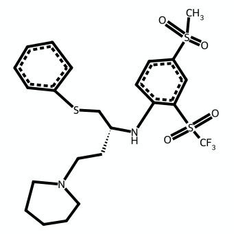 CS(=O)(=O)c1ccc(N[C@H](CCN2CCCCC2)CSc2ccccc2)c(S(=O)(=O)C(F)(F)F)c1